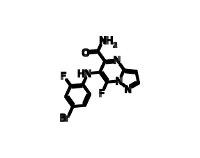 NC(=O)c1nc2ccnn2c(F)c1Nc1ccc(Br)cc1F